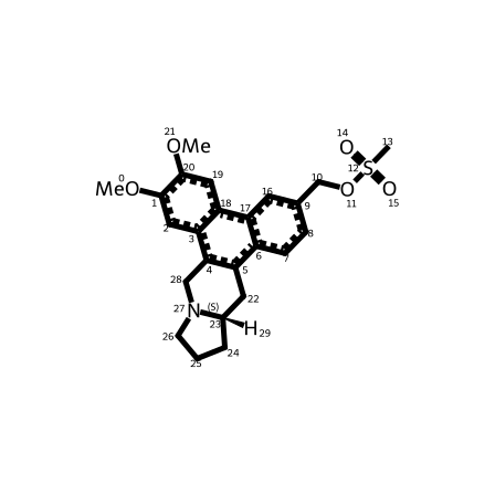 COc1cc2c3c(c4ccc(COS(C)(=O)=O)cc4c2cc1OC)C[C@@H]1CCCN1C3